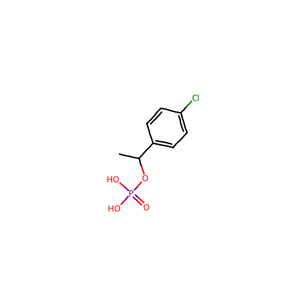 CC(OP(=O)(O)O)c1ccc(Cl)cc1